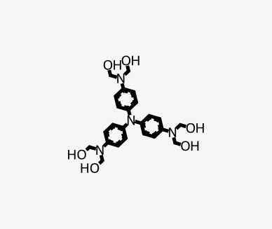 OCN(CO)c1ccc(N(c2ccc(N(CO)CO)cc2)c2ccc(N(CO)CO)cc2)cc1